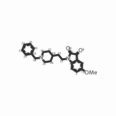 COc1ccc2c(c1)C(=O)C(=O)N2CCC1CCN(Cc2ccccc2)CC1